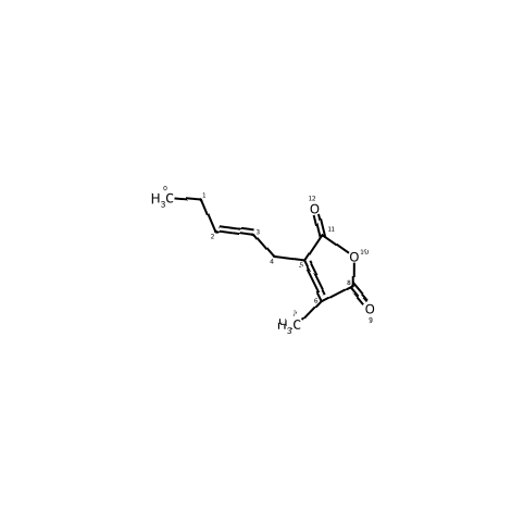 CCC=CCC1=C(C)C(=O)OC1=O